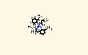 CC(=O)N=C1N(c2c(C)cccc2C)CC(CC#N)N1c1c(C)cccc1C